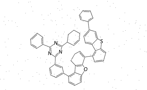 C1=CC(c2nc(-c3ccccc3)nc(-c3cccc(-c4cccc5oc6c(c45)CCC=C6c4cccc5sc6cc(-c7ccccc7)ccc6c45)c3)n2)CCC1